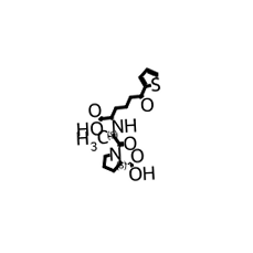 C[C@H](NC(CCCC(=O)c1cccs1)C(=O)O)C(=O)N1CCC[C@H]1C(=O)O